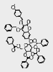 COc1ccc(COc2c(OCc3ccccc3)c3ccc(O[C@@H]4O[C@H](COC(=O)c5ccccc5)[C@H](OC(=O)c5ccccc5)[C@H](OC(=O)c5ccccc5)[C@H]4OC(=O)c4ccccc4)cc3oc2=O)cc1